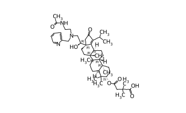 CC(=O)NCCN(Cc1ccccn1)C[C@H](O)[C@@]12CC[C@]3(C)[C@H](CC[C@@H]4[C@@]5(C)CC[C@H](OC(=O)CC(C)(C)C(=O)O)C(C)(C)[C@H]5CC[C@]43C)C1=C(C(C)C)C(=O)C2